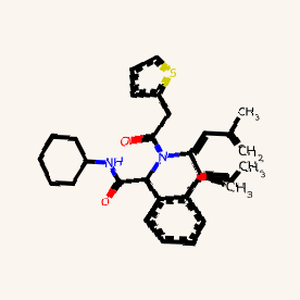 C=C(C)/C=C(\C=C/C)N(C(=O)Cc1cccs1)C(C(=O)NC1CCCCC1)c1ccccc1CC